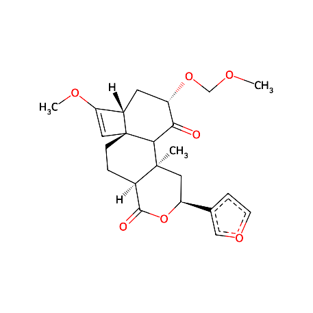 COCO[C@H]1C[C@H]2C(OC)=C[C@]23CC[C@@H]2C(=O)O[C@H](c4ccoc4)C[C@]2(C)C3C1=O